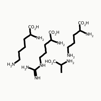 CC(N)C(=O)O.N=C(N)NCCCC(N)C(=O)O.NCCCC(N)C(=O)O.NCCCCC(N)C(=O)O